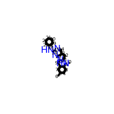 CNc1ccc(C)cc1Cn1ccc2cnc(Nc3ccccc3)nc21